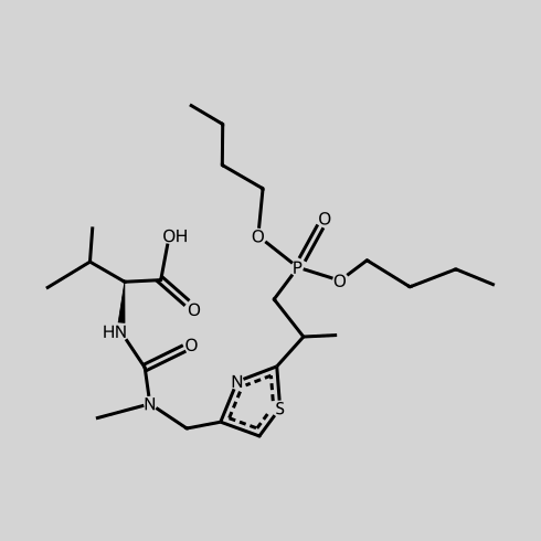 CCCCOP(=O)(CC(C)c1nc(CN(C)C(=O)N[C@H](C(=O)O)C(C)C)cs1)OCCCC